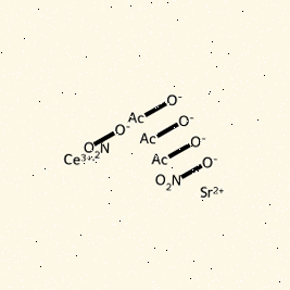 CC(=O)[O-].CC(=O)[O-].CC(=O)[O-].O=[N+]([O-])[O-].O=[N+]([O-])[O-].[Ce+3].[Sr+2]